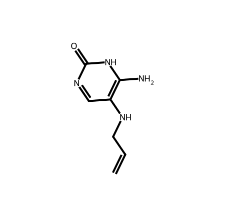 C=CCNc1cnc(=O)[nH]c1N